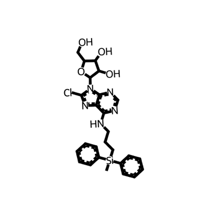 C[Si](CCCNc1ncnc2c1nc(Cl)n2C1OC(CO)C(O)C1O)(c1ccccc1)c1ccccc1